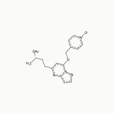 CC(=O)OC(C)CCc1cc(OCc2cc[n+]([O-])cc2)n2nccc2n1